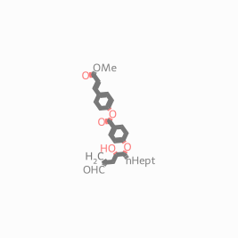 C=C(C=O)CC(O)C(CCCCCCC)OC1=CC=C(C(=O)OC2=CC=C(/C=C/C(=O)OC)CC2)CC1